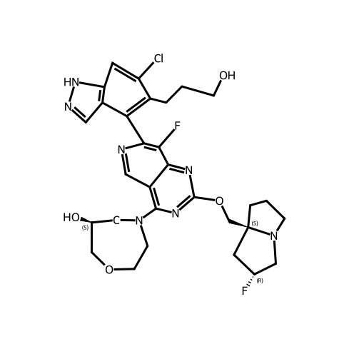 OCCCc1c(Cl)cc2[nH]ncc2c1-c1ncc2c(N3CCOC[C@@H](O)C3)nc(OC[C@@]34CCCN3C[C@H](F)C4)nc2c1F